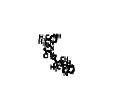 CN(C(=O)C1CN(c2nc(N3CCNCC3(C)C)ncc2Cl)C1)C(C)(C)c1cnc2ccccn12